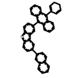 C1=CC(c2c3ccccc3c(-c3ccc4sc5ccc(-c6ccc7ccccc7c6)cc5c4c3)c3ccccc23)=CCC1